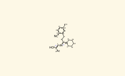 CC(=O)/C(O)=C\N=C(/CCc1cc(F)ccc1C#N)N1CCCCC1